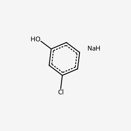 Oc1cccc(Cl)c1.[NaH]